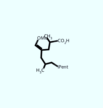 CCCC(C)CC(C)C/C(=C/OC)CC(C)C(=O)O